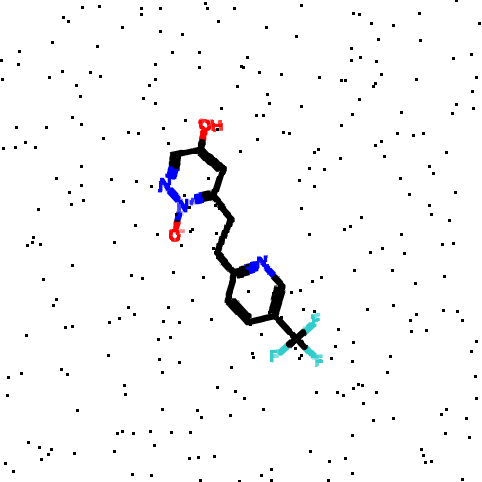 [O-][n+]1ncc(O)cc1CCc1ccc(C(F)(F)F)cn1